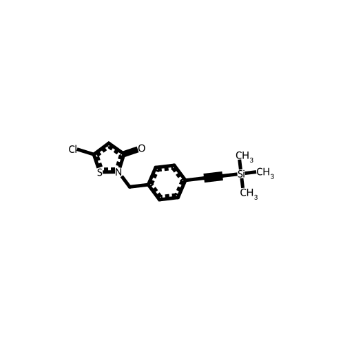 C[Si](C)(C)C#Cc1ccc(Cn2sc(Cl)cc2=O)cc1